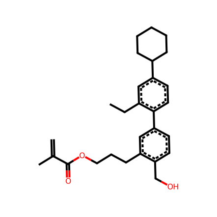 C=C(C)C(=O)OCCCc1cc(-c2ccc(C3CCCCC3)cc2CC)ccc1CO